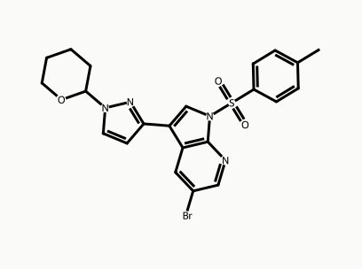 Cc1ccc(S(=O)(=O)n2cc(-c3ccn(C4CCCCO4)n3)c3cc(Br)cnc32)cc1